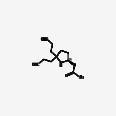 CC(C)(C)C(=O)O[C@@H]1CCC(CCC=O)(CCC=O)N1